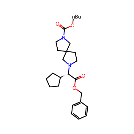 CCCCOC(=O)N1CCC2(CCN([C@H](C(=O)OCc3ccccc3)C3CCCC3)C2)C1